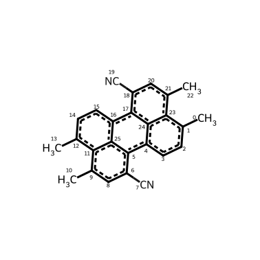 Cc1ccc2c3c(C#N)cc(C)c4c(C)ccc(c5c(C#N)cc(C)c1c25)c43